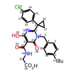 CC(C)(C)c1ccc(Cn2c(C3(c4ccc(Cl)cc4)CC3)nc(O)c(C(=O)NCC(=O)O)c2=O)cc1